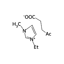 CC(=O)CCC(=O)[O-].CC[n+]1ccn(C)c1